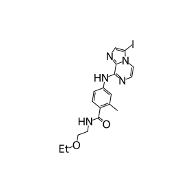 [CH2]COCCNC(=O)c1ccc(Nc2nccn3c(I)cnc23)cc1C